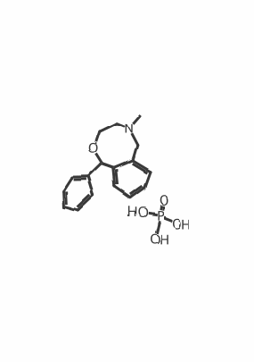 CN1CCOC(c2ccccc2)c2ccccc2C1.O=P(O)(O)O